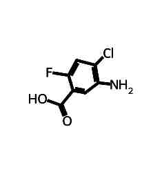 Nc1cc(C(=O)O)c(F)cc1Cl